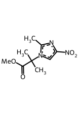 COC(=O)C(C)(C)n1cc([N+](=O)[O-])nc1C